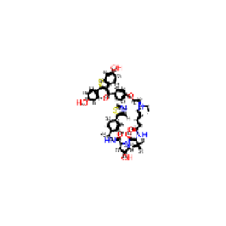 CCN(CCCCC(=O)N[C@H](C(=O)N1C[C@@H](O)C[C@H]1C(=O)N[C@@H](C)c1ccc(-c2scnc2C)cc1)C(C)(C)C)CCOc1ccc(C(=O)c2c(-c3ccc(O)cc3)sc3cc(O)ccc23)cc1